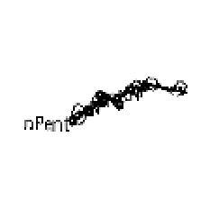 C=C(C)C(=O)OCCCCCCOc1ccc(C(=O)Oc2ccc(CNc3ccc(N=Nc4ccc(N=Nc5ccc(C(=O)Oc6ccc(CCCCC)cc6)cc5C)c5ccccc45)c4ccccc34)cc2)cc1